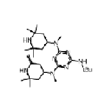 C=C1CC(N(C)c2nc(NC(C)(C)C)nc(N(C)C3CC(C)(C)NC(C)(C)C3)n2)CC(C)(C)N1